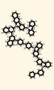 c1ccc(-c2cccc(-n3c4ccccc4c4cc(-c5ccc6c(c5)c5ccccc5n6-c5ccc(-c6ccc(-c7cc(-c8nc(-n9c%10ccc(-n%11c%12ccccc%12c%12ccccc%12%11)cc%10c%10cc%11ccccc%11cc%109)nc9ccccc89)cc8ccccc78)cc6)cc5)ccc43)c2)cc1